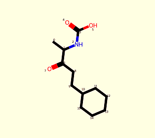 CC(NC(=O)O)C(=O)CCC1CCCCC1